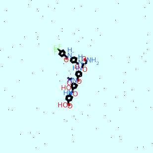 CC(C)Oc1c(NC(=O)c2ccc(NC(=O)[C@H](CC(N)=O)NC(=O)c3ccc(NC(=O)c4ccc(C(F)(F)F)cc4)cc3)cc2)ccc(C(=O)Nc2ccc(C(=O)O)cc2)c1O